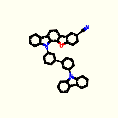 N#Cc1ccc2oc3c(ccc4c5ccccc5n(-c5cccc(-c6cccc(-n7c8ccccc8c8ccccc87)c6)c5)c43)c2c1